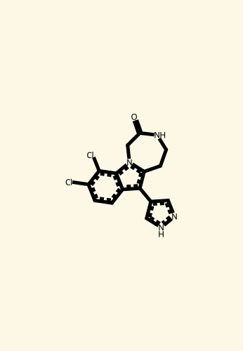 O=C1Cn2c(c(-c3cn[nH]c3)c3ccc(Cl)c(Cl)c32)CCN1